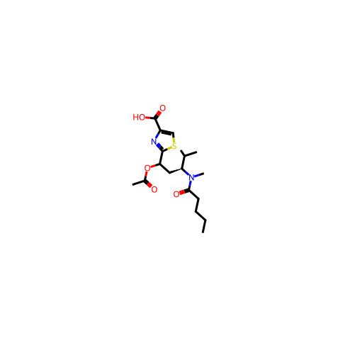 CCCCC(=O)N(C)[C@@H](CC(OC(C)=O)c1nc(C(=O)O)cs1)C(C)C